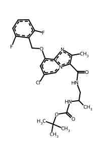 Cc1nc2c(OCc3c(F)cccc3F)cc(Cl)cn2c1C(=O)NCC(C)NC(=O)OC(C)(C)C